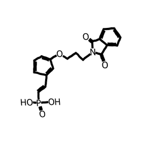 O=C1c2ccccc2C(=O)N1CCCOc1cccc(C=CP(=O)(O)O)c1